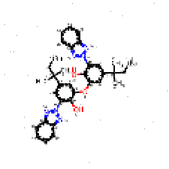 CC(C)(C)CC(C)(C)c1cc(Oc2cc(C(C)(C)CC(C)(C)C)cc(-n3nc4ccccc4n3)c2O)c(O)c(-n2nc3ccccc3n2)c1